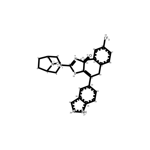 CN1C2CCC1CN(C1=NC(=O)C(=C(Cc3ccc(C(F)(F)F)cc3C(F)(F)F)c3ccc4[nH]ncc4c3)S1)C2